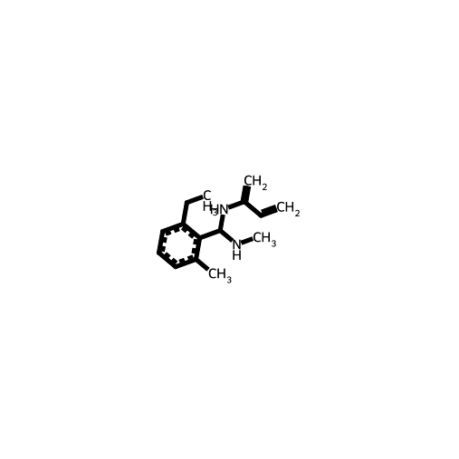 C=CC(=C)NC(NC)c1c(C)cccc1CC